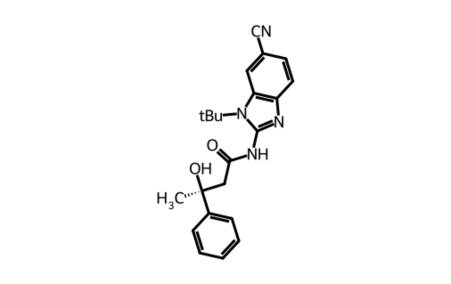 CC(C)(C)n1c(NC(=O)C[C@](C)(O)c2ccccc2)nc2ccc(C#N)cc21